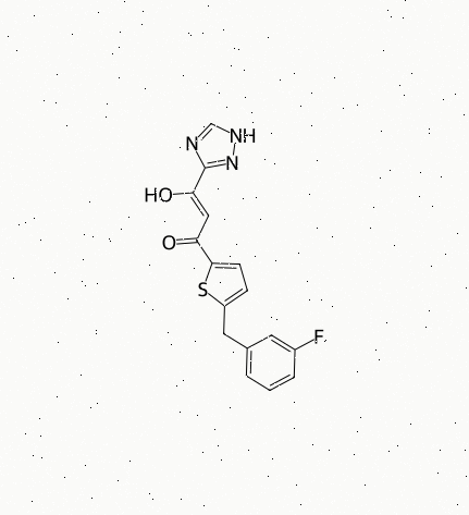 O=C(C=C(O)c1nc[nH]n1)c1ccc(Cc2cccc(F)c2)s1